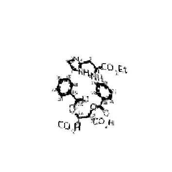 CCOC(=O)C(N)Cc1ncc[nH]1.O=C(O[C@H](C(=O)O)[C@H](OC(=O)c1ccccc1)C(=O)O)c1ccccc1